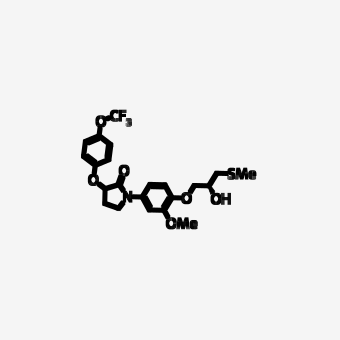 COc1cc(N2CCC(Oc3ccc(OC(F)(F)F)cc3)C2=O)ccc1OC[C@H](O)CSC